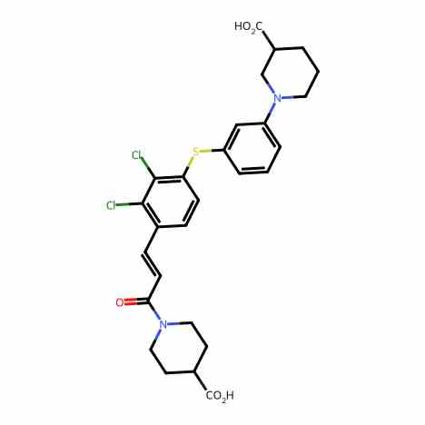 O=C(O)C1CCN(C(=O)C=Cc2ccc(Sc3cccc(N4CCCC(C(=O)O)C4)c3)c(Cl)c2Cl)CC1